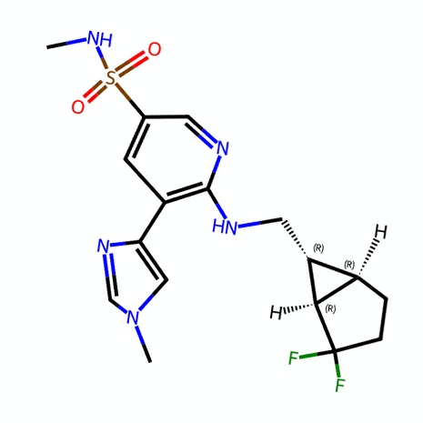 CNS(=O)(=O)c1cnc(NC[C@@H]2[C@H]3CCC(F)(F)[C@H]32)c(-c2cn(C)cn2)c1